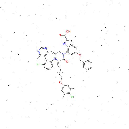 Cc1cc(OCCCc2c3n(c4c(-c5c(C)ncnc5C)c(Cl)ccc24)C(C)CN(c2cc(OCc4ccccc4)cc4cc(C(=O)O)[nH]c24)C3=O)cc(C)c1Cl